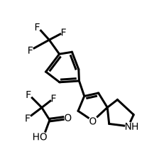 FC(F)(F)c1ccc(C2=CC3(CCNC3)OC2)cc1.O=C(O)C(F)(F)F